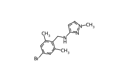 Cc1cc(Br)cc(C)c1CNc1ccn(C)n1